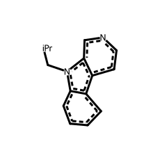 CC(C)Cn1c2ccccc2c2ccncc21